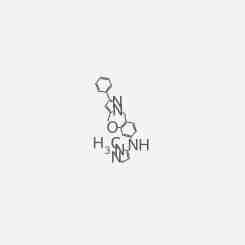 Cn1nccc1Nc1ccc2c(c1)OCc1cc(-c3ccccc3)nn1C2